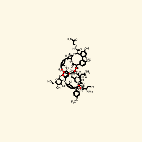 CN[C@H](CC(C)C)C(=O)N[C@H]1C(=O)N[C@@H](CC(N)=O)C(=O)N[C@H]2C(=O)N[C@H]3C(=O)N[C@H](C(=O)N[C@@H](C(=O)NOCC(N)=O)c4cc(O)cc(O)c4-c4cc3ccc4O)[C@H](O)c3ccc(c(Cl)c3)Oc3cc2cc(c3O[C@@H]2O[C@H](CO)[C@@H](O)[C@H](O)[C@H]2O[C@H]2C[C@](C)(NCC3CN(C(=O)Nc4ccc(OC(F)(F)F)cc4)CCO3)[C@H](O)[C@H](C)O2)Oc2ccc(cc2Cl)[C@H]1O